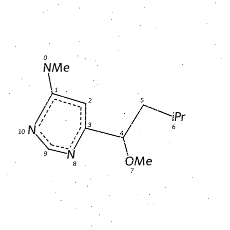 CNc1cc(C(CC(C)C)OC)ncn1